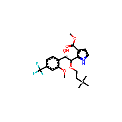 COC(=O)c1cc[nH]c1C(OCC[Si](C)(C)C)[C@@H](O)c1ccc(C(F)(F)F)cc1OC